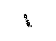 CC1CCC(c2ncc(-c3ccc(O)cc3)cn2)CC1